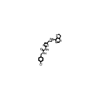 O=C(NCc1ccc(Cl)cc1)Nc1ncc(CCNc2ncnc3c2SCC3)s1